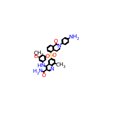 COc1cccc(Nc2c(C(N)=O)cnc3c(C)cc(S(=O)(=O)c4cccc5c4CCN(c4ccc(N)cc4)C5=O)cc23)c1